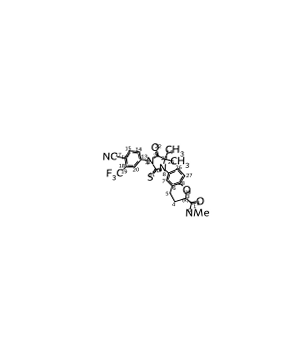 CNC(=O)[C@H]1CCc2cc(N3C(=S)N(c4ccc(C#N)c(C(F)(F)F)c4)C(=O)C3(C)C)ccc2O1